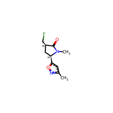 Cc1cc([C@H]2C[C@@H](CF)C(=O)N2C)on1